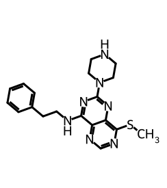 CSc1ncnc2c(NCCc3ccccc3)nc(N3CCNCC3)nc12